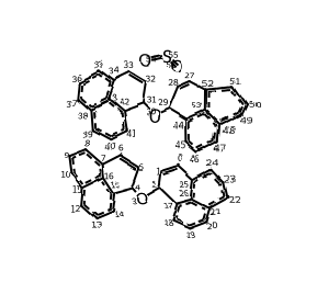 C1=CC(OC2C=Cc3cccc4cccc2c34)c2cccc3cccc1c23.C1=CC(OC2C=Cc3cccc4cccc2c34)c2cccc3cccc1c23.O=S=O